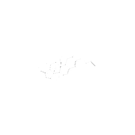 C=CCOC1=CC2=CC[C@@H]3[C@H](CC[C@]4(C)C(=O)CC[C@@H]34)[C@@]2(C)CC1